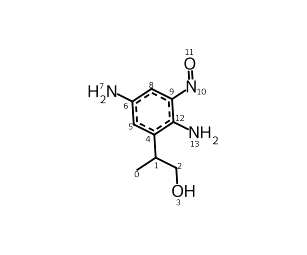 CC(CO)c1cc(N)cc(N=O)c1N